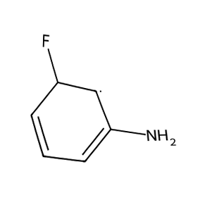 NC1=CC=CC(F)[CH]1